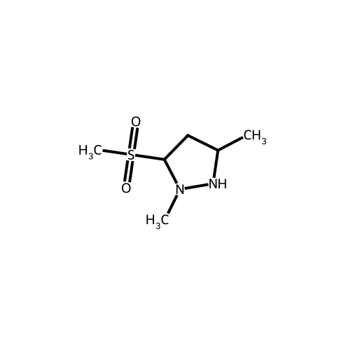 CC1CC(S(C)(=O)=O)N(C)N1